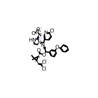 CC1(C)[C@H](C=C(Cl)Cl)[C@H]1C(=O)OC(C#N)c1cccc(Oc2ccccc2)c1.O=[N+]([O-])/N=C1\NCCN1Cc1ccc(Cl)nc1